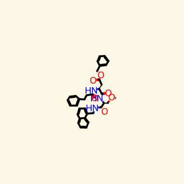 COC[C@H](NC(=O)[C@H](CC(=O)OCc1ccccc1)NC(=O)CCc1ccccc1)C(=O)NCc1cccc2ccccc12